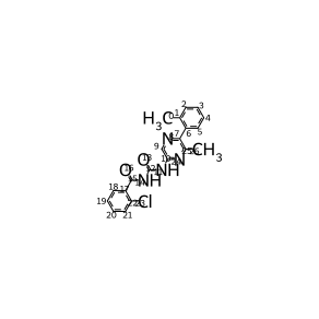 Cc1ccccc1-c1ncc(NC(=O)NC(=O)c2ccccc2Cl)nc1C